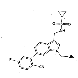 CC(C)(C)Cn1cc(CNS(=O)(=O)C2CC2)c2ccc(-c3cc(F)ccc3C#N)cc21